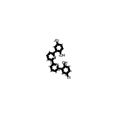 CCc1ccc(O)c(-c2cccc(-c3cccc(-c4cc(CC)ccc4O)n3)n2)c1